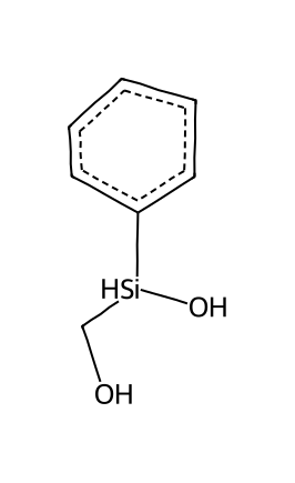 OC[SiH](O)c1ccccc1